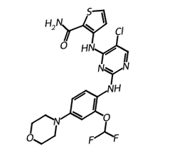 NC(=O)c1sccc1Nc1nc(Nc2ccc(N3CCOCC3)cc2OC(F)F)ncc1Cl